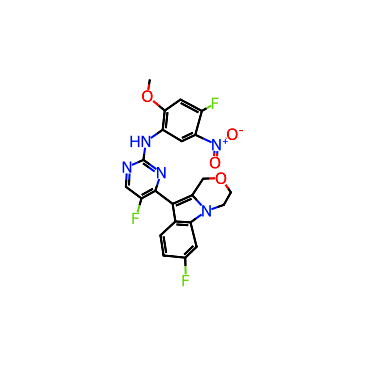 COc1cc(F)c([N+](=O)[O-])cc1Nc1ncc(F)c(-c2c3n(c4cc(F)ccc24)CCOC3)n1